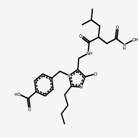 CCCCc1nc(Cl)c(CNC(=O)C(CC(=O)NO)CC(C)C)n1Cc1ccc(C(=O)O)cc1